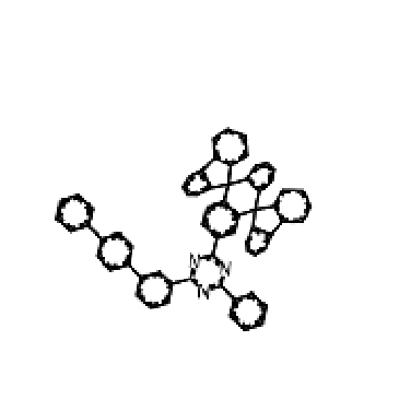 c1ccc(-c2ccc(-c3cccc(-c4nc(-c5ccccc5)nc(-c5ccc6c(c5)C5(c7ccccc7-c7ccccc75)c5ccccc5C65c6ccccc6-c6ccccc65)n4)c3)cc2)cc1